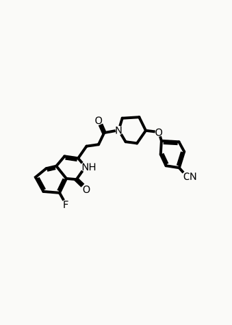 N#Cc1ccc(OC2CCN(C(=O)CCc3cc4cccc(F)c4c(=O)[nH]3)CC2)cc1